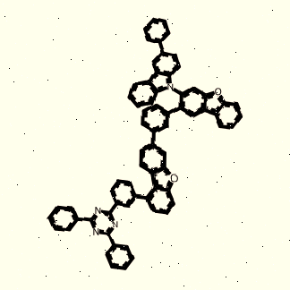 c1ccc(-c2ccc3c(c2)c2ccccc2n3-c2cc3oc4ccccc4c3cc2-c2cccc(-c3ccc4c(c3)oc3cccc(-c5cccc(-c6nc(-c7ccccc7)nc(-c7ccccc7)n6)c5)c34)c2)cc1